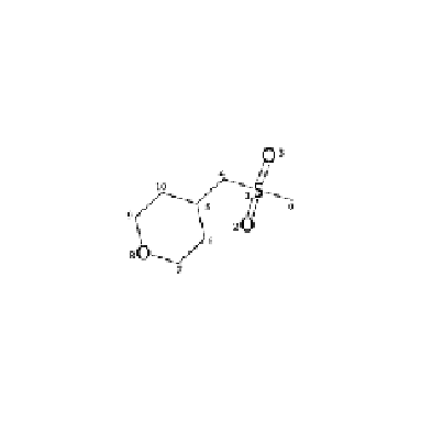 CS(=O)(=O)CC1CCOCC1